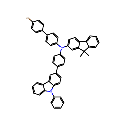 CC1(C)c2ccccc2-c2ccc(N(c3ccc(-c4ccc(Br)cc4)cc3)c3ccc(-c4ccc5c(c4)c4ccccc4n5-c4ccccc4)cc3)cc21